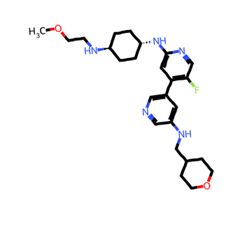 COCCN[C@H]1CC[C@H](Nc2cc(-c3cncc(NCC4CCOCC4)c3)c(F)cn2)CC1